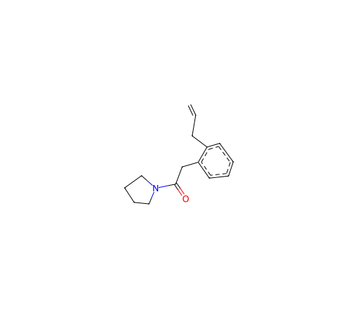 C=CCc1ccccc1CC(=O)N1CCCC1